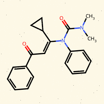 CN(C)C(=O)N(/C(=C/C(=O)c1ccccc1)C1CC1)c1ccccc1